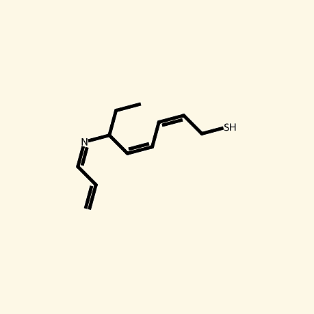 C=C/C=N\C(/C=C\C=C/CS)CC